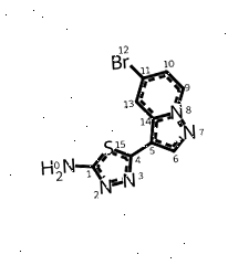 Nc1nnc(-c2cnn3ccc(Br)cc23)s1